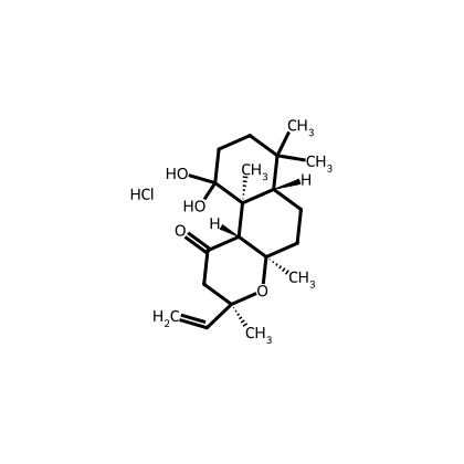 C=C[C@@]1(C)CC(=O)[C@@H]2[C@]3(C)[C@@H](CC[C@@]2(C)O1)C(C)(C)CCC3(O)O.Cl